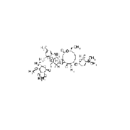 CC[C@H]1CCC[C@H](O[C@H]2CC[C@H](N(C)C)C(C)O2)[C@@H](C)C(=O)C2=C[C@H]3[C@@H]4C[C@H](O[C@@H]5OC(C)[C@H](OC)C(OC)C5OC)C[C@H]4[C@@H](O)[C@@]4(Nc5cc(C)cc(C)c5)C[C@]34[C@@H]2CC(=O)O1